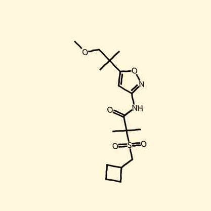 COCC(C)(C)c1cc(NC(=O)C(C)(C)S(=O)(=O)CC2CCC2)no1